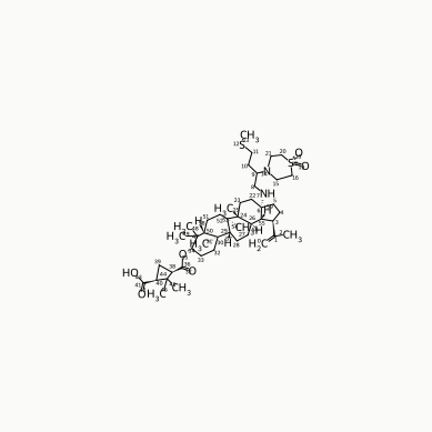 C=C(C)[C@@H]1CC[C@]2(NCC(CCSC)N3CCS(=O)(=O)CC3)CC[C@]3(C)[C@H](CC[C@@H]4[C@@]5(C)CC[C@H](OC(=O)[C@@H]6C[C@H](C(=O)O)C6(C)C)C(C)(C)[C@@H]5CC[C@]43C)[C@@H]12